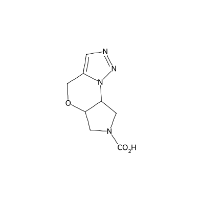 O=C(O)N1CC2OCc3cnnn3C2C1